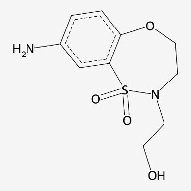 Nc1ccc2c(c1)S(=O)(=O)N(CCO)CCO2